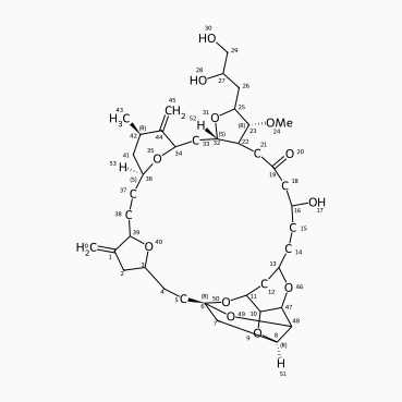 C=C1CC2CC[C@]34C[C@H]5OC6C(CC(CCC(O)CC(=O)CC7[C@@H](OC)C(CC(O)CO)O[C@H]7CC7O[C@@H](CCC1O2)C[C@@H](C)C7=C)OC6C5O3)O4